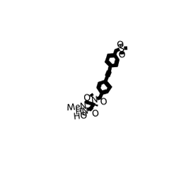 CNC(=O)[C@@](C)(C(=O)NO)N(C)C(=O)c1ccc(C#Cc2ccc(CS(C)(=O)=O)cc2)cc1